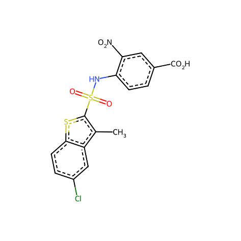 Cc1c(S(=O)(=O)Nc2ccc(C(=O)O)cc2[N+](=O)[O-])sc2ccc(Cl)cc12